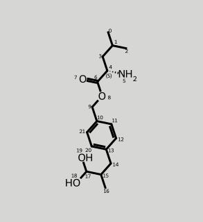 CC(C)C[C@H](N)C(=O)OCc1ccc(CC(C)C(O)O)cc1